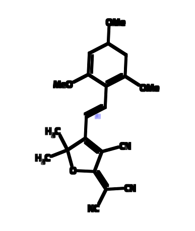 COC1=CC(OC)CC(OC)=C1/C=C/C1=C(C#N)C(=C(C#N)C#N)OC1(C)C